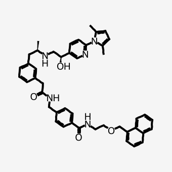 Cc1ccc(C)n1-c1ccc([C@@H](O)CN[C@H](C)Cc2cccc(CC(=O)NCc3ccc(C(=O)NCCOCc4cccc5ccccc45)cc3)c2)cn1